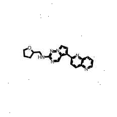 c1cnc2ccc(-c3ccn4nc(NCC5CCCO5)ncc34)nc2c1